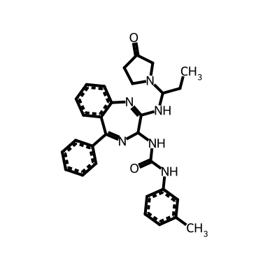 CCC(NC1=Nc2ccccc2C(c2ccccc2)=NC1NC(=O)Nc1cccc(C)c1)N1CCC(=O)C1